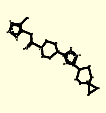 Cc1nonc1CC(=O)N1CCC(c2noc(C3CCC4(CC3)CC4)n2)CC1